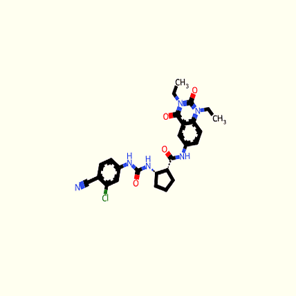 CCn1c(=O)c2cc(NC(=O)[C@@H]3CCC[C@@H]3NC(=O)Nc3ccc(C#N)c(Cl)c3)ccc2n(CC)c1=O